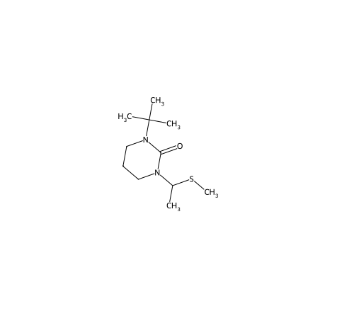 CSC(C)N1CCCN(C(C)(C)C)C1=O